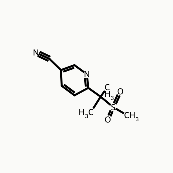 CC(C)(c1ccc(C#N)cn1)S(C)(=O)=O